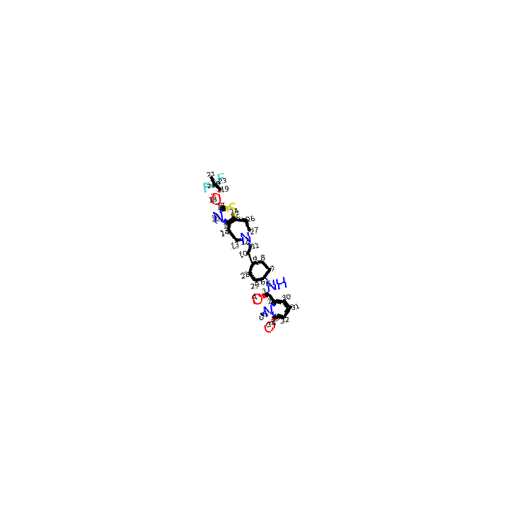 Cn1c(C(=O)N[C@H]2CC[C@H](CCN3CCc4nc(OCC(C)(F)F)sc4CC3)CC2)cccc1=O